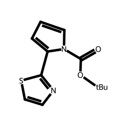 CC(C)(C)OC(=O)n1cccc1-c1nccs1